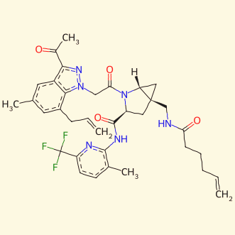 C=CCCCC(=O)NC[C@@]12C[C@@H](C(=O)Nc3nc(C(F)(F)F)ccc3C)N(C(=O)Cn3nc(C(C)=O)c4cc(C)cc(CC=C)c43)[C@@H]1C2